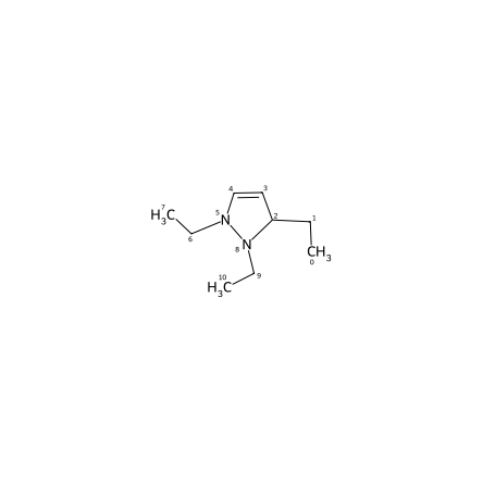 CCC1C=CN(CC)N1CC